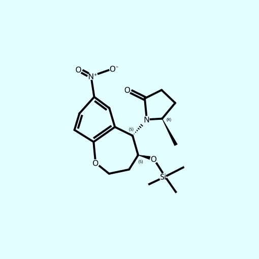 C[C@@H]1CCC(=O)N1[C@H]1c2cc([N+](=O)[O-])ccc2OCC[C@@H]1O[Si](C)(C)C